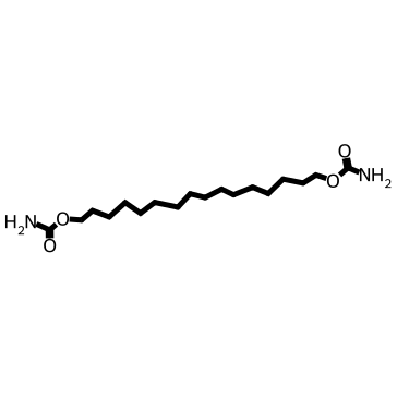 NC(=O)OCCCCCCCCCCCCCCCCOC(N)=O